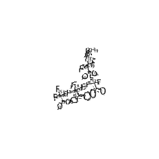 O=C([O-])C(F)(F)F.O=C([O-])C(F)(F)F.O=C([O-])C(F)(F)F.O=C([O-])C(F)(F)F.[Pt+4]